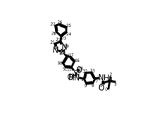 CC(C)(C)C(=O)Nc1ccc(NS(=O)(=O)c2ccc(-n3ncc(-c4ccccc4)n3)cc2)cc1